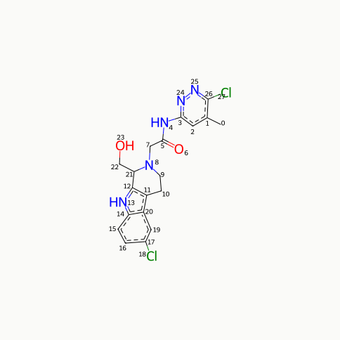 Cc1cc(NC(=O)CN2CCc3c([nH]c4ccc(Cl)cc34)C2CO)nnc1Cl